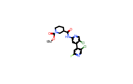 CC(C)(C)OC(=O)N1CCCC(C(=O)Nc2cc(-c3cc(F)ncc3Cl)c(Cl)cn2)C1